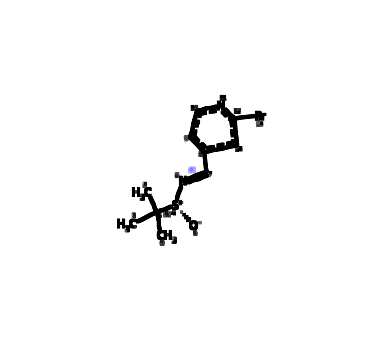 CC(C)(C)[S@@+]([O-])/N=C/c1ccnc(Br)c1